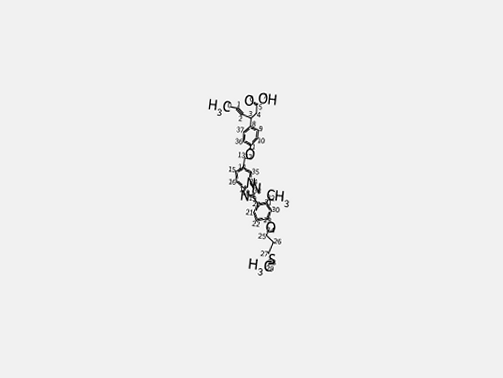 CC#CC(CC(=O)O)c1ccc(OCc2ccc3nc(-c4ccc(OCCCSC)cc4C)nn3c2)cc1